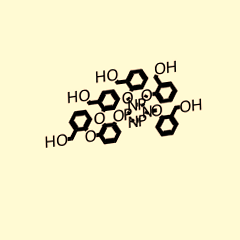 OCc1ccccc1Oc1cccc(Op2npn(Oc3ccccc3CO)p(Oc3ccccc3CO)n2Oc2ccccc2CO)c1Oc1ccccc1CO